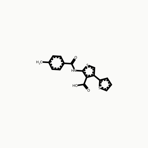 Cc1ccc(C(=O)Nc2scc(-c3cccs3)c2C(=O)O)cc1